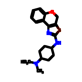 CN(C(=O)O)C1CCC(Nc2nc3c(s2)COc2ccccc2-3)CC1